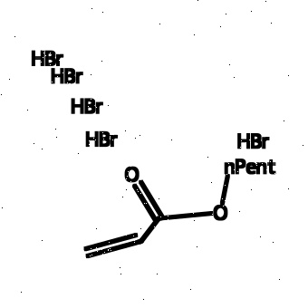 Br.Br.Br.Br.Br.C=CC(=O)OCCCCC